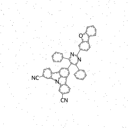 N#Cc1ccc2c3cc(-c4c(-c5ccccc5)nc(-c5ccc6c(c5)oc5ccccc56)nc4-c4ccccc4)cc4c5ccc(C#N)cc5n(c2c1)c34